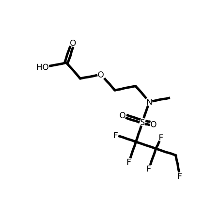 CN(CCOCC(=O)O)S(=O)(=O)C(F)(F)C(F)(F)CF